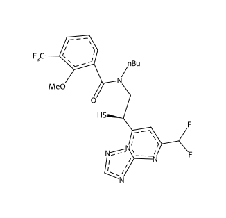 CCCCN(C[C@H](S)c1cc(C(F)F)nc2ncnn12)C(=O)c1cccc(C(F)(F)F)c1OC